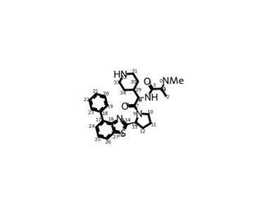 CN[C@@H](C)C(=O)N[C@H](C(=O)N1CCC[C@H]1c1nc2c(-c3ccccc3)cccc2s1)C1CCNCC1